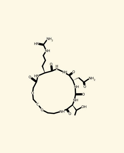 CC(O)[C@@H]1NC(=O)N[C@@H](CC(N)=O)C(=O)NNC(=O)[C@H](CCCNC(=N)N)NC(=O)COCCOCCNC1=O